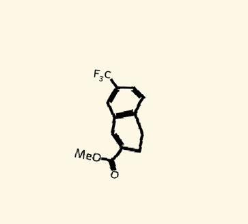 COC(=O)C1=Cc2cc(C(F)(F)F)ccc2CC1